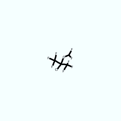 FC(F)OC(Cl)(C(F)(F)F)C(F)(F)F